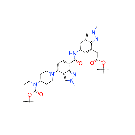 CCN(C(=O)OC(C)(C)C)C1CCN(c2ccc(C(=O)Nc3cc(CC(=O)OC(C)(C)C)c4nn(C)cc4c3)c3nn(C)cc23)CC1